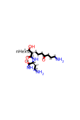 CCCCCC[C@@H](O)[C@H](CCCC(=O)CCCN)C(=O)N[C@@H](CCN)C(N)=O